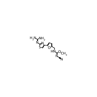 COC(=NC#N)NCc1ccc(-c2csc(N=C(N)N)n2)o1